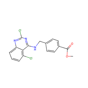 COC(=O)c1ccc(CNc2nc(Cl)nc3cccc(Cl)c23)cc1